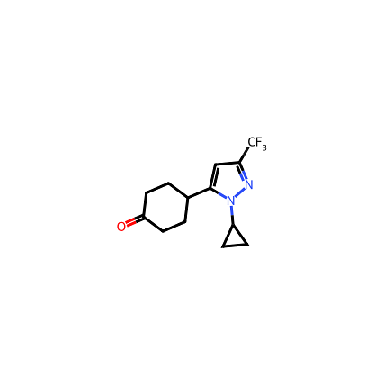 O=C1CCC(c2cc(C(F)(F)F)nn2C2CC2)CC1